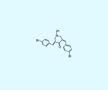 CC(C)N1CC(=Cc2ccc(Br)cc2)C(=O)C(=Cc2ccc(Br)cc2)C1